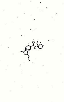 CCCC1CC(C)C2C3CC(C(=O)OC4(CC)CCCC4)C(C3)C12